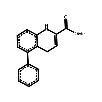 COC(=O)C1=CCc2c(cccc2-c2ccccc2)N1